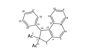 CC(=O)C1(C(C)=O)Cc2ccc3ccccc3c2C1c1ccccc1